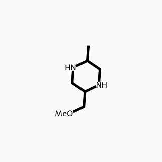 COCC1CNC(C)CN1